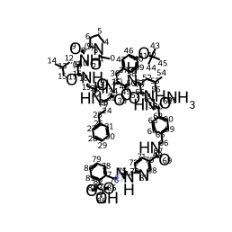 CC(=O)N1CCC[C@H]1C(=O)N[C@@H](CC(C)C)C(=O)NCC(=O)N[C@@H](CCc1ccccc1)C(=O)N[C@@H](Cc1ccc(OC(C)(C)C)cc1)C(=O)N[C@@H](CC(C)C)C(=O)NNC(=O)c1ccc(CNC(=O)c2ccc(N/N=C/c3ccccc3S(=O)(=O)O)nc2)cc1.N